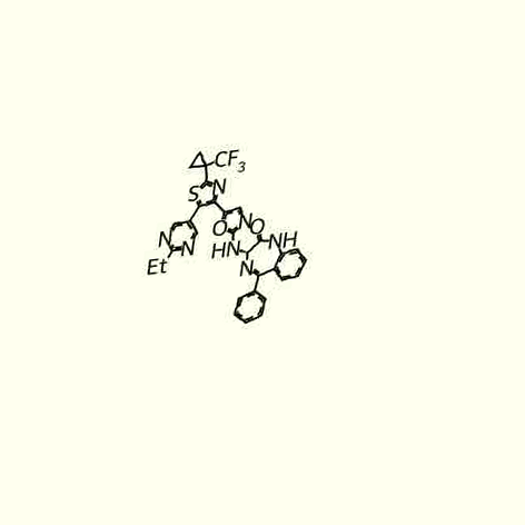 CCc1ncc(-c2sc(C3(C(F)(F)F)CC3)nc2-c2cnc(N[C@@H]3N=C(c4ccccc4)c4ccccc4NC3=O)o2)cn1